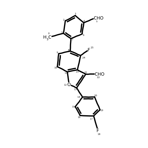 Cc1ccc(C=O)cc1-c1ccc2oc(-c3ccc(F)cc3)c(C=O)c2c1F